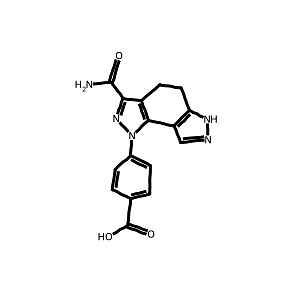 NC(=O)c1nn(-c2ccc(C(=O)O)cc2)c2c1CCc1[nH]ncc1-2